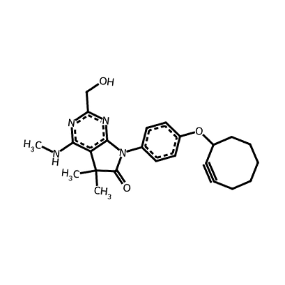 CNc1nc(CO)nc2c1C(C)(C)C(=O)N2c1ccc(OC2C#CCCCCC2)cc1